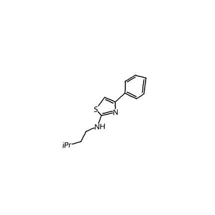 CC(C)CCNc1nc(-c2ccccc2)cs1